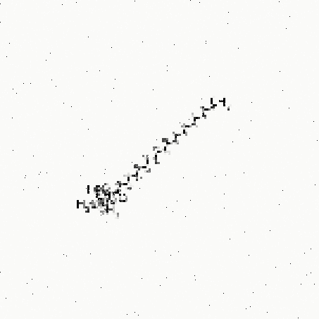 CCCCCCCCCCCCCCCCCCCCCC(=O)C(C[N+](C)(C)C)O[PH-]